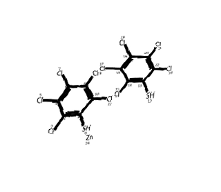 Sc1c(Cl)c(Cl)c(Cl)c(Cl)c1Cl.Sc1c(Cl)c(Cl)c(Cl)c(Cl)c1Cl.[Zn]